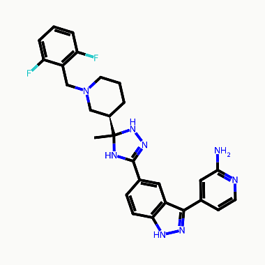 CC1([C@@H]2CCCN(Cc3c(F)cccc3F)C2)NN=C(c2ccc3[nH]nc(-c4ccnc(N)c4)c3c2)N1